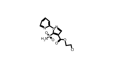 NS(=O)(=O)c1c(C(=O)OCCCl)cnn1-c1ccccn1